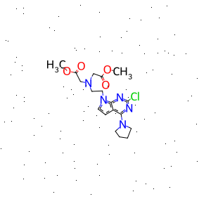 COC(=O)CN(CCn1ccc2c(N3CCCC3)nc(Cl)nc21)CC(=O)OC